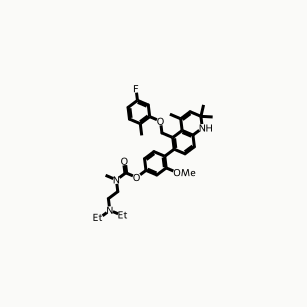 CCN(CC)CCN(C)C(=O)Oc1ccc(-c2ccc3c(c2COc2cc(F)ccc2C)C(C)=CC(C)(C)N3)c(OC)c1